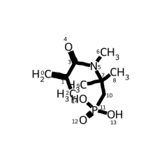 C=C(C)C(=O)N(C)C(C)(C)CP(=O)(O)O